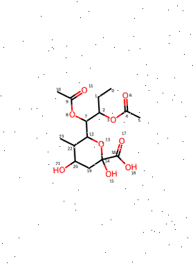 CCC(OC(C)=O)C(OC(C)=O)C1OC(O)(C(=O)O)CC(O)C1C